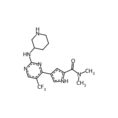 CN(C)C(=O)c1cc(-c2nc(NC3CCCNC3)ncc2C(F)(F)F)c[nH]1